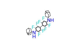 Fc1c(F)c(-c2c(F)c(F)c(NC34CC5CC(C3)C(C5)C4)c(F)c2F)c(F)c(F)c1NC12CC3=C(CC(C3)C1)C2